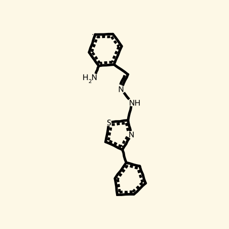 Nc1c[c]ccc1C=NNc1nc(-c2ccccc2)cs1